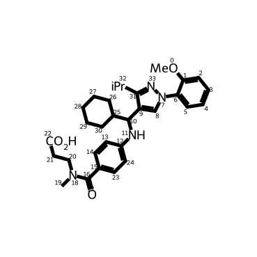 COc1ccccc1-n1cc(C(Nc2ccc(C(=O)N(C)CCC(=O)O)cc2)C2CCCCC2)c(C(C)C)n1